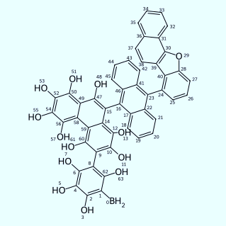 Bc1c(O)c(O)c(O)c(-c2c(O)c(O)c3c(-c4c5ccccc5c(-c5cccc6oc7c8ccccc8ccc7c56)c5ccccc45)c(O)c4c(O)c(O)c(O)c(O)c4c3c2O)c1O